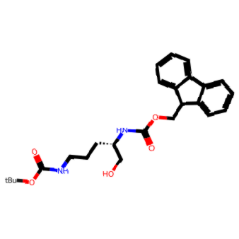 CC(C)(C)OC(=O)NCCC[C@@H](CO)NC(=O)OCC1c2ccccc2-c2ccccc21